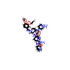 CCOc1cc(CN2CCC(N(c3nc4ccc(Nc5nc6cccnc6o5)nc4o3)C3CCNCC3)CC2)ccc1OC